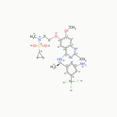 COc1cc2nc(C)nc(N[C@H](C)c3cc(N)cc(C(F)(F)F)c3)c2cc1OCCN(C)S(=O)(=O)C1CC1